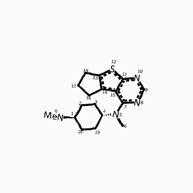 CN[C@H]1CC[C@H](N(C)c2ncnc3sc4c(c23)CCC4)CC1